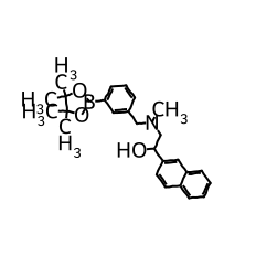 CN(Cc1cccc(B2OC(C)(C)C(C)(C)O2)c1)CC(O)c1ccc2ccccc2c1